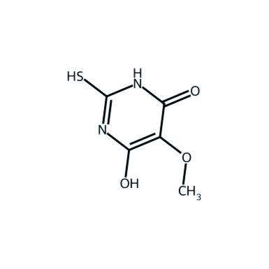 COc1c(O)nc(S)[nH]c1=O